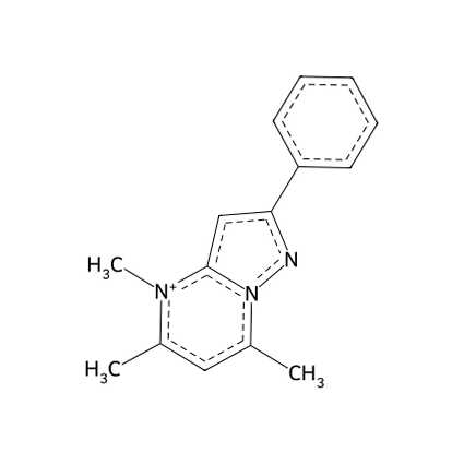 Cc1cc(C)[n+](C)c2cc(-c3ccccc3)nn12